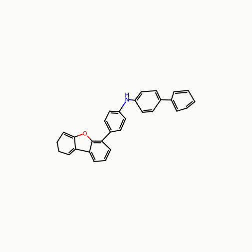 C1=c2oc3c(-c4ccc(Nc5ccc(-c6ccccc6)cc5)cc4)cccc3c2=CCC1